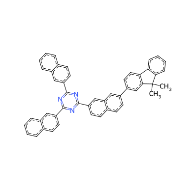 CC1(C)c2ccccc2-c2ccc(-c3ccc4ccc(-c5nc(-c6ccc7ccccc7c6)nc(-c6ccc7ccccc7c6)n5)cc4c3)cc21